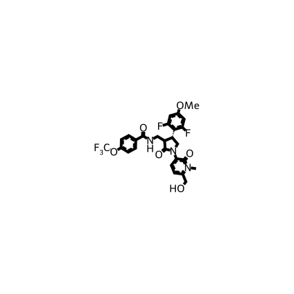 COc1cc(F)c([C@@H]2CN(c3ccc(CO)n(C)c3=O)C(=O)C2CNC(=O)c2ccc(OC(F)(F)F)cc2)c(F)c1